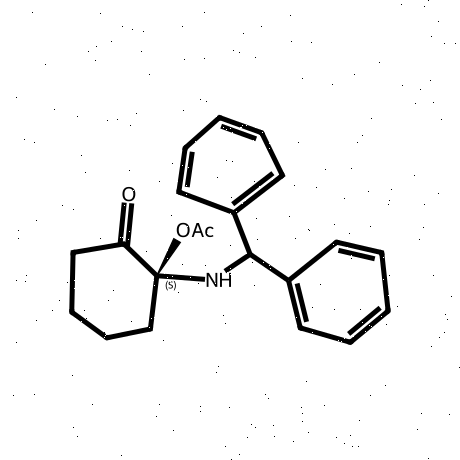 CC(=O)O[C@@]1(NC(c2ccccc2)c2ccccc2)CCCCC1=O